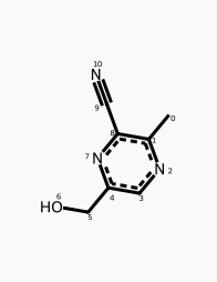 Cc1ncc(CO)nc1C#N